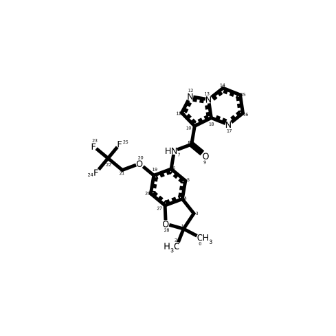 CC1(C)Cc2cc(NC(=O)c3cnn4cccnc34)c(OCC(F)(F)F)cc2O1